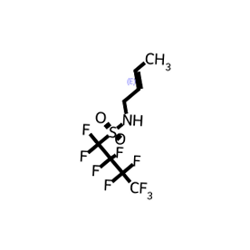 C/C=C/CNS(=O)(=O)C(F)(F)C(F)(F)C(F)(F)C(F)(F)F